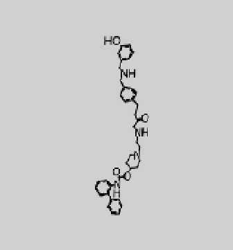 O=C(CCc1ccc(CNCc2cccc(O)c2)cc1)CNCCN1CCC(OC(=O)Nc2ccccc2-c2ccccc2)CC1